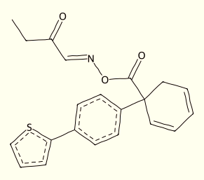 CCC(=O)C=NOC(=O)C1(c2ccc(-c3cccs3)cc2)C=CC=CC1